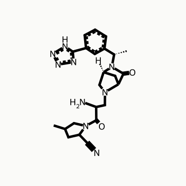 CC1CC(C#N)N(C(=O)C(N)CN2C[C@@H]3CC2C(=O)N3[C@@H](C)c2cccc(-c3nnn[nH]3)c2)C1